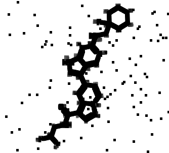 O=C(NCC(F)F)c1cnn2ccc(-c3c[nH]c4nc(NCC5(F)CCCCC5)ncc34)cc12